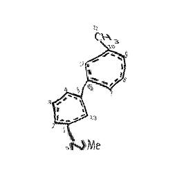 CNc1cccc(-c2cccc(C)c2)c1